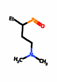 CCC(CCN(C)C)P=O